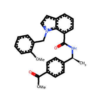 COC(=O)c1ccc([C@H](C)NC(=O)c2cccc3ccn(Cc4ccccc4OC)c23)cc1